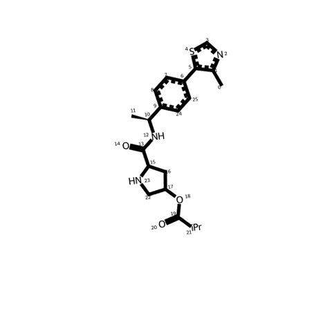 Cc1ncsc1-c1ccc([C@H](C)NC(=O)C2CC(OC(=O)C(C)C)CN2)cc1